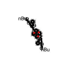 CCCCOCCOCCN(CCCc1ccc(F)[c]([Ti]([C]2=CC=CC2)([C]2=CC=CC2)[c]2c(F)ccc(CCCN(CCOCCOCCCC)C(=O)c3ccccc3)c2F)c1F)C(=O)c1ccccc1